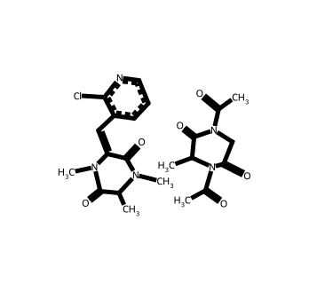 CC(=O)N1CC(=O)N(C(C)=O)C(C)C1=O.CC1C(=O)N(C)C(=Cc2cccnc2Cl)C(=O)N1C